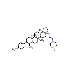 CC1=CC=C(C2=CCC3(C)C(CCC4(C)C3CCC3[C@H]5CCCC5(NCCN5CC[S+]([O-])CC5)CC[C@]34C)C2C)CC1